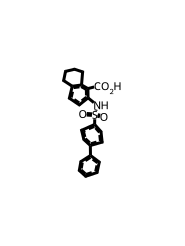 O=C(O)c1c(NS(=O)(=O)c2ccc(-c3ccccc3)cc2)ccc2c1CCCC2